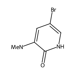 CNc1cc(Br)c[nH]c1=O